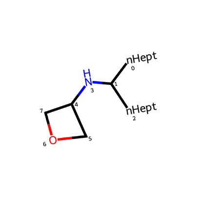 CCCCCCCC(CCCCCCC)NC1COC1